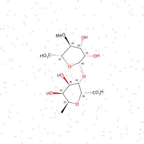 CO[C@H]1[C@H](O)[C@H](O)[C@H](O[C@H]2[C@H](O)[C@H](O)[C@H](C)O[C@H]2C(=O)O)O[C@@H]1C(=O)O